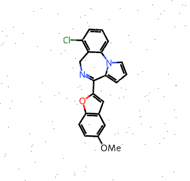 COc1ccc2oc(C3=NCc4c(Cl)cccc4-n4cccc43)cc2c1